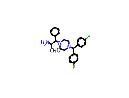 NC(C=O)C(c1ccccc1)N1CCN(C(c2ccc(F)cc2)c2ccc(F)cc2)CC1